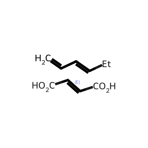 C=CC=CCC.O=C(O)/C=C/C(=O)O